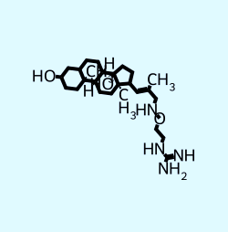 C/C(=C\C1CC[C@@]2(O)[C@@H]3CCC4CC(O)CC[C@]4(C)[C@@H]3CC[C@]12C)CNOCCNC(=N)N